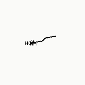 CCCCCCCCCCCC#CC#CCCCCCCCCCC(=O)NO